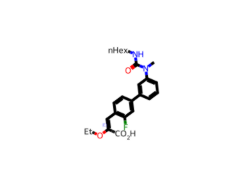 CCCCCCNC(=O)N(C)c1cccc(-c2ccc(/C=C(/OCC)C(=O)O)c(F)c2)c1